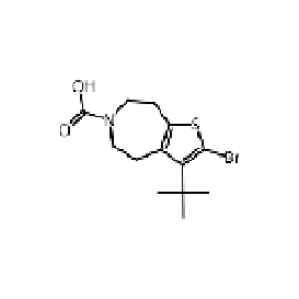 CC(C)(C)c1c(Br)sc2c1CCN(C(=O)O)CC2